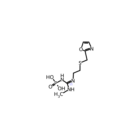 CN/C(=N/CCSCc1ncco1)NP(=O)(O)O